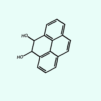 OC1c2cccc3ccc4cccc(c4c23)C1O